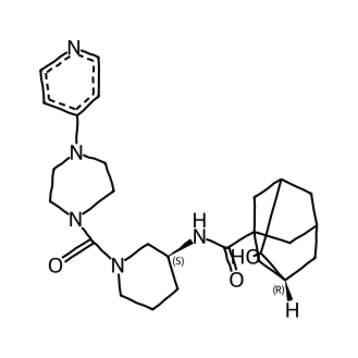 O=C(N1CCN(c2ccncc2)CC1)N1CCC[C@H](NC(=O)C23CC4CC(C2)C(O)[C@H](C4)C3)C1